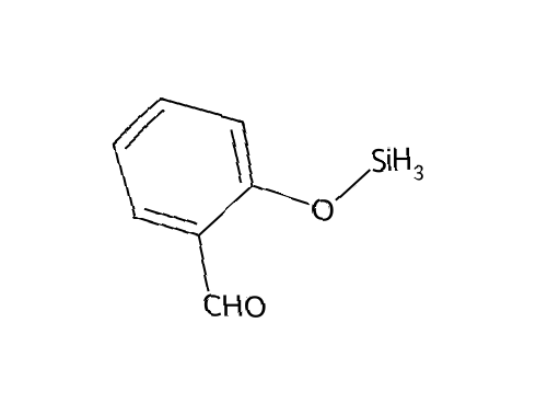 O=Cc1ccccc1O[SiH3]